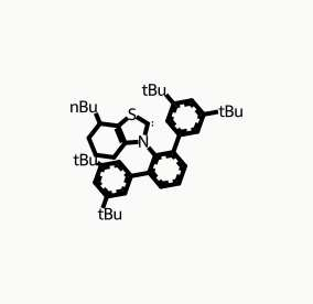 CCCCC1CCCC2=C1S[C]N2c1c(-c2cc(C(C)(C)C)cc(C(C)(C)C)c2)cccc1-c1cc(C(C)(C)C)cc(C(C)(C)C)c1